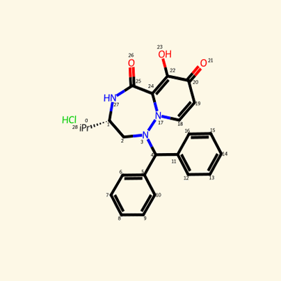 CC(C)[C@H]1CN(C(c2ccccc2)c2ccccc2)n2ccc(=O)c(O)c2C(=O)N1.Cl